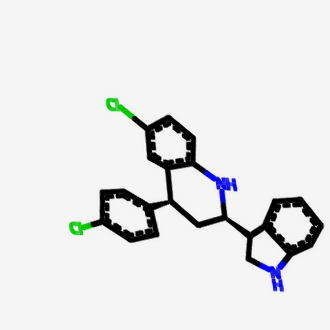 Clc1ccc([C@@H]2C[C@H](C3CNc4ccccc43)Nc3ccc(Cl)cc32)cc1